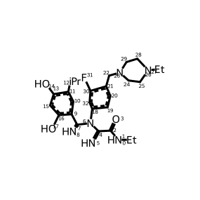 CCNC(=O)C(=N)N(C(=N)c1cc(C(C)C)c(O)cc1O)c1ccc(CN2CCN(CC)CC2)c(F)c1